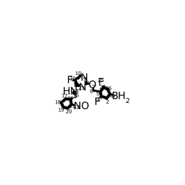 Bc1cc(F)c(COc2ncc(F)c(NSc3ccccc3N=O)n2)c(F)c1